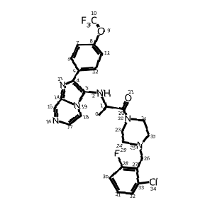 CC(Nc1c(-c2ccc(OC(F)(F)F)cc2)nc2cnccn12)C(=O)N1CCN(Cc2c(F)cccc2Cl)CC1